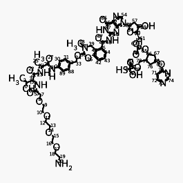 CC(C)[C@H](NC(=O)COCCOCCOCCOCCN)C(=O)N[C@@H](C)C(=O)Nc1ccc(COC(=O)N(C)Cc2ccccc2C(=O)Nc2nc3c(ncn3[C@H]3C[C@H](O)[C@@H](CO[PH](=O)OC4C[C@H](Oc5ccncn5)CC4CO[P@](=O)(O)S)O3)c(=O)[nH]2)cc1